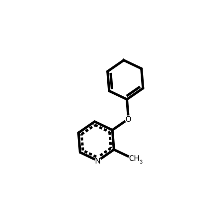 Cc1ncccc1OC1=CC[CH]C=C1